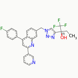 CC[C@](O)(c1cn(Cc2ccc3c(-c4ccc(F)cc4)cc(-c4cccnc4)nc3c2)nn1)C(F)(F)F